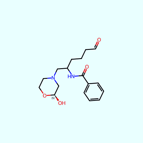 O=CCCCC(CN1CCO[C@H](O)C1)NC(=O)c1ccccc1